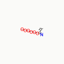 COCCOCCOCCOCCOCCOc1cc(-c2cc(C)ccc2C)cc(N(C)C)c1